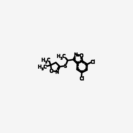 CC(SC1=NOC(C)(C)C1)c1noc2c(Cl)cc(Cl)cc12